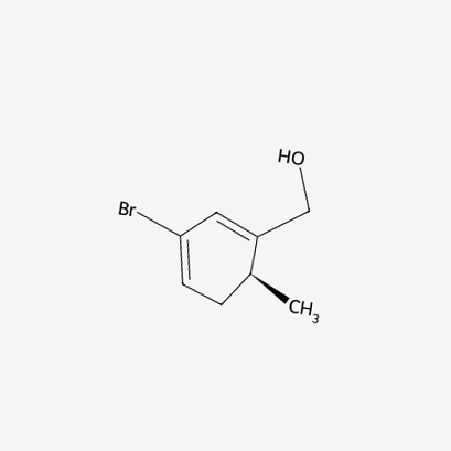 C[C@H]1CC=C(Br)C=C1CO